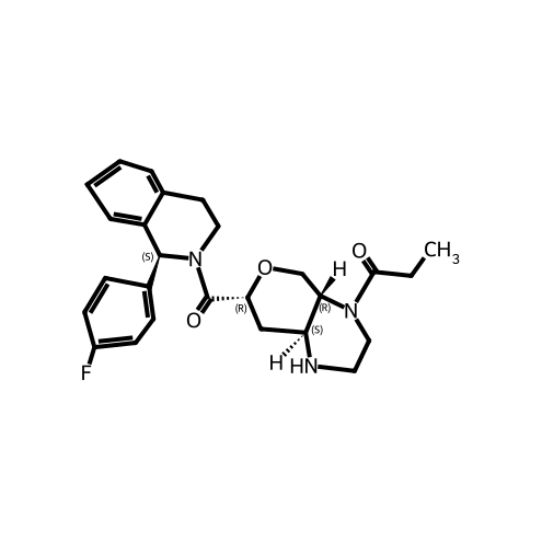 CCC(=O)N1CCN[C@H]2C[C@H](C(=O)N3CCc4ccccc4[C@@H]3c3ccc(F)cc3)OC[C@@H]21